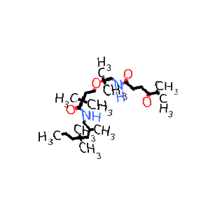 CCCC(C)(C)CC(C)CNC(=O)C(C)(C)CCOC(C)(C)CNC(=O)CCC(=O)C(C)C